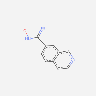 N=C(NO)c1ccc2ccncc2c1